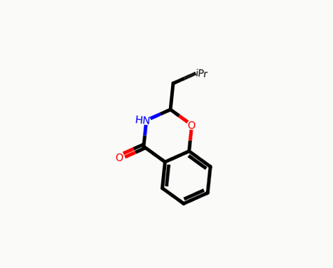 CC(C)CC1NC(=O)c2ccccc2O1